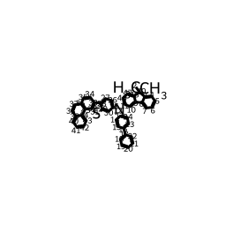 CC1(C)c2ccccc2-c2cc(N(c3ccc(-c4ccccc4)cc3)c3ccc4c(c3)sc3c4ccc4ccc5ccccc5c43)ccc21